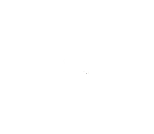 [B].[Ni].[P].[Re]